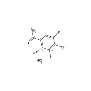 Cl.NC(=O)c1cc(F)c(O)c(F)c1F